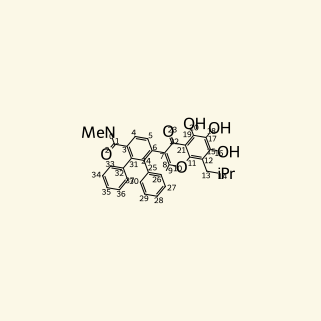 CNC(=O)c1ccc(-c2c(C)oc3c(CC(C)C)c(O)c(O)c(O)c3c2=O)c(-c2ccccc2)c1-c1ccccc1